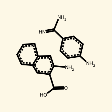 N=C(N)c1ccc(N)cc1.Nc1cc2ccccc2cc1C(=O)O